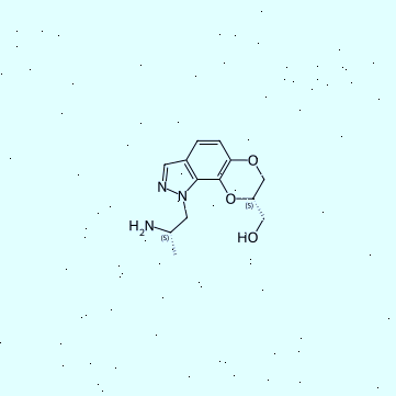 C[C@H](N)Cn1ncc2ccc3c(c21)O[C@@H](CO)CO3